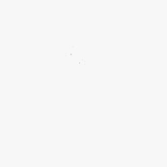 CCCCCCCCCC(C)C(CC(C)=O)OC